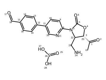 CC(=O)[C@H]1OC(=O)N(c2ccc(-c3ccc(C=O)cc3)cn2)C1CN.O=S(O)O